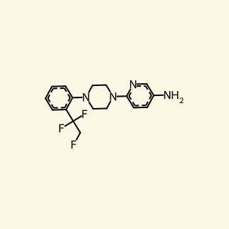 Nc1ccc(N2CCN(c3ccccc3C(F)(F)CF)CC2)nc1